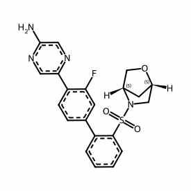 Nc1cnc(-c2ccc(-c3ccccc3S(=O)(=O)N3C[C@@H]4C[C@H]3CO4)cc2F)cn1